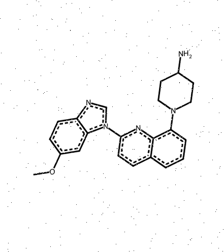 COc1ccc2ncn(-c3ccc4cccc(N5CCC(N)CC5)c4n3)c2c1